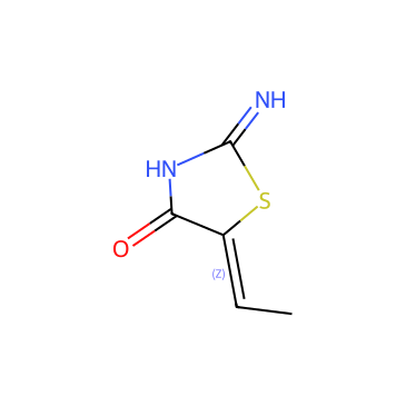 C/C=C1\SC(=N)NC1=O